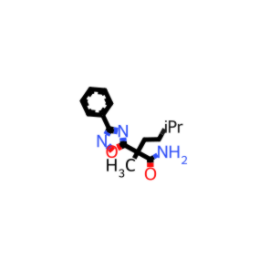 CC(C)CCC(C)(C(N)=O)c1nc(-c2ccccc2)no1